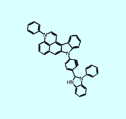 c1c(C2Nc3ccccc3N2c2ccccc2)ccc(-n2c3ccccc3c3c4c5c(cccc5cc32)N(c2ccccc2)C=C4)c#1